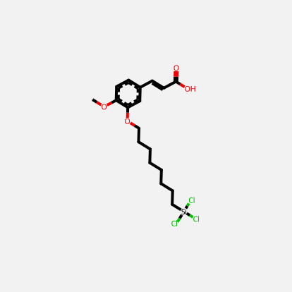 COc1ccc(/C=C/C(=O)O)cc1OCCCCCCCC[Si](Cl)(Cl)Cl